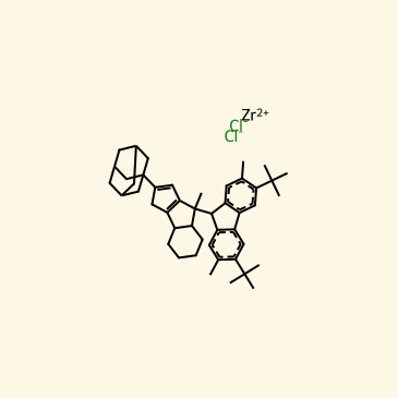 Cc1cc2c(cc1C(C)(C)C)-c1cc(C(C)(C)C)c(C)cc1C2C1(C)C2=C(CC(C34CC5CC(CC(C5)C3)C4)=C2)C2CCCCC21.[Cl-].[Cl-].[Zr+2]